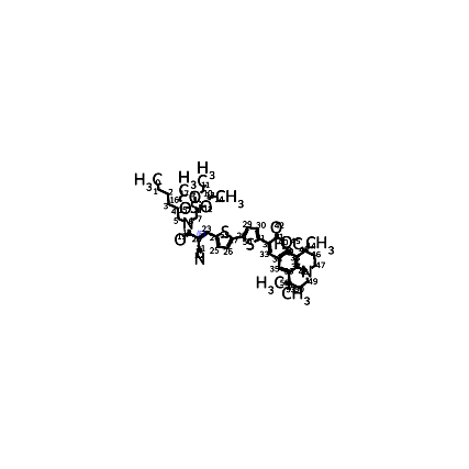 CCCCCCN(C[Si](OCC)(OCC)OCC)C(=O)/C(C#N)=C/c1ccc(-c2ccc(-c3cc4cc5c6c(c4oc3=O)C(C)(C)CCN6CCC5(C)C)s2)s1